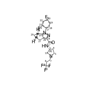 O=C(N[C@@H]1CCN(CCC(F)(F)F)C1)c1nn(-c2ccc(F)cc2F)c2c1C[C@H]1C[C@@H]21